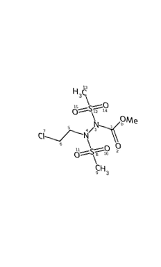 COC(=O)N(N(CCCl)S(C)(=O)=O)S(C)(=O)=O